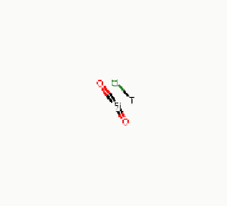 O=[Si]=O.[Cl][Ti]